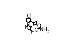 NC(=O)OC1CC(c2cc(Cl)ccc2-n2cc(F)cn2)C1